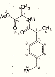 C=C(NC(=O)[C@H](C)c1ccc(CC(C)C)cc1)C(=O)OC